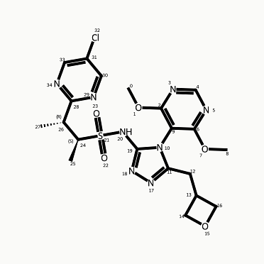 COc1ncnc(OC)c1-n1c(CC2COC2)nnc1NS(=O)(=O)[C@@H](C)[C@H](C)c1ncc(Cl)cn1